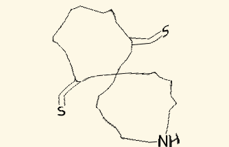 S=C1CCCC(=S)C12CCNCC2